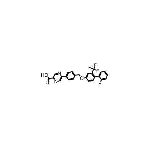 O=C(O)c1cnc(-c2ccc(COc3ccc(-c4ccccc4F)c(C(F)(F)F)c3)cc2)cn1